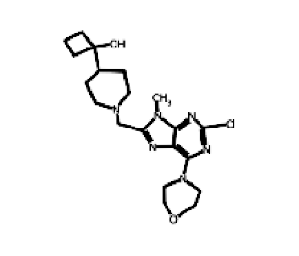 Cn1c(CN2CCC(C3(O)CCC3)CC2)nc2c(N3CCOCC3)nc(Cl)nc21